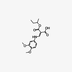 CCC(C)OC(=O)C(=CNc1ccc(OC)c(OC)c1)C(=O)O